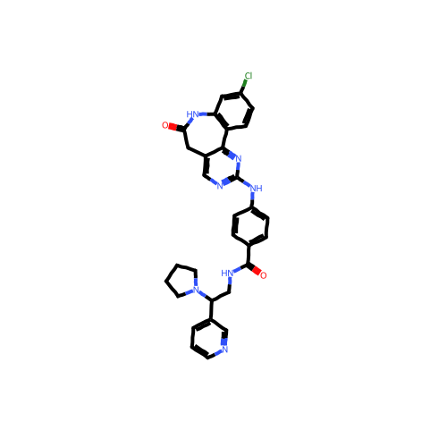 O=C1Cc2cnc(Nc3ccc(C(=O)NCC(c4cccnc4)N4CCCC4)cc3)nc2-c2ccc(Cl)cc2N1